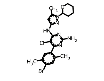 Cc1cc(-c2nc(N)nc(Nc3cc(C)n(C4CCCCO4)n3)c2Cl)c(C)cc1Br